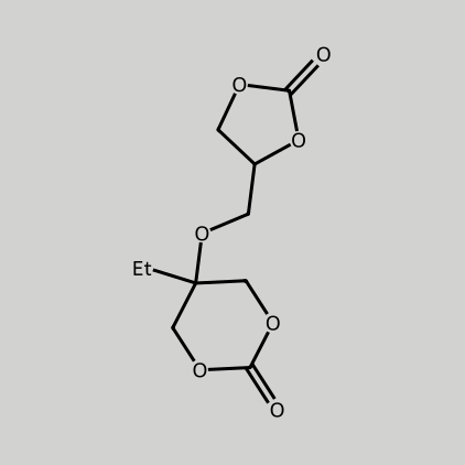 CCC1(OCC2COC(=O)O2)COC(=O)OC1